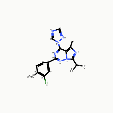 CCC(CC)c1nc(C)c2c(-n3cncn3)nc(-c3ccc(OC)c(Cl)c3)nn12